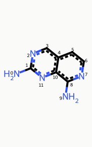 Nc1ncc2ccnc(N)c2n1